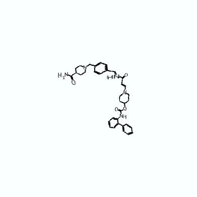 NC(=O)C1CCN(Cc2ccc(CNC(=O)CCN3CCC(OC(=O)Nc4ccccc4-c4ccccc4)CC3)cc2)CC1